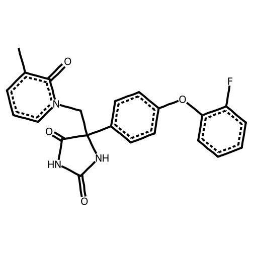 Cc1cccn(CC2(c3ccc(Oc4ccccc4F)cc3)NC(=O)NC2=O)c1=O